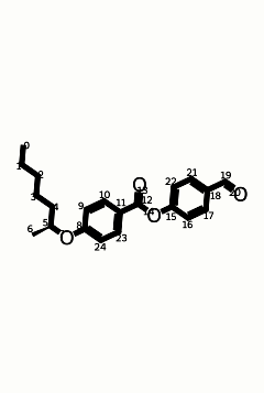 CCCCC[C@H](C)Oc1ccc(C(=O)Oc2ccc(C=O)cc2)cc1